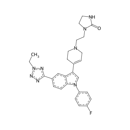 CCn1nnc(-c2ccc3c(c2)c(C2=CCN(CCN4CCNC4=O)CC2)cn3-c2ccc(F)cc2)n1